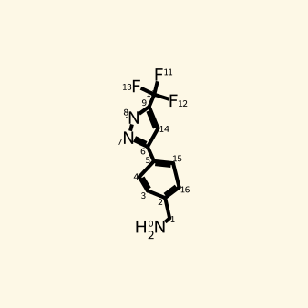 NCc1ccc(C2=N[N]C(C(F)(F)F)=C2)cc1